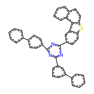 c1ccc(-c2ccc(-c3nc(-c4cccc(-c5ccccc5)c4)nc(-c4ccc5sc6ccc7ccccc7c6c5c4)n3)cc2)cc1